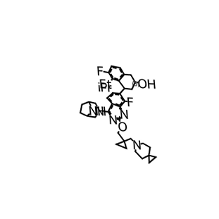 CCc1c(F)ccc2c1C(c1c(C(C)C)cc3c(N4CC5CCC(C4)N5)nc(OCC4(CN5CCC6(CC5)CC6)CC4)nc3c1F)C[C@H](O)C2